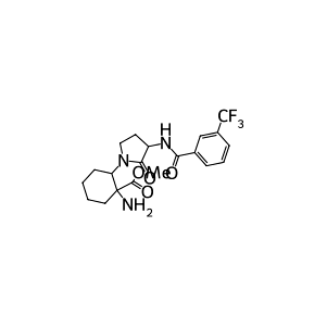 COC(=O)C1(N)CCCCC1N1CCC(NC(=O)c2cccc(C(F)(F)F)c2)C1=O